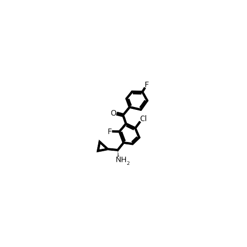 N[C@@H](c1ccc(Cl)c(C(=O)c2ccc(F)cc2)c1F)C1CC1